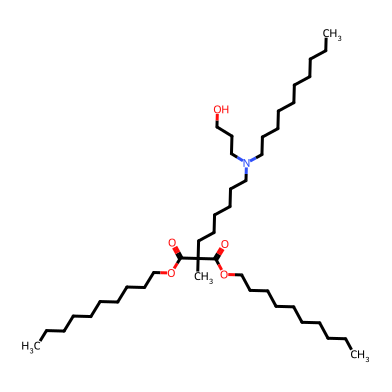 CCCCCCCCCCOC(=O)C(C)(CCCCCCN(CCCO)CCCCCCCCCC)C(=O)OCCCCCCCCCC